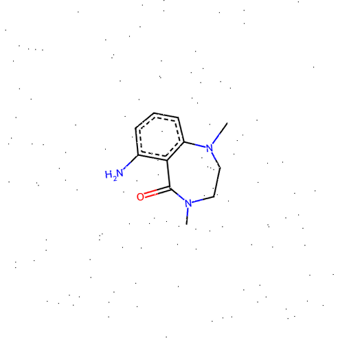 CN1CCN(C)c2cccc(N)c2C1=O